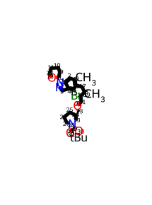 Cc1cc2c(cnn2C2CCCCO2)c(Br)c1CC(C)CCOC[C@@H]1CCCN(C(=O)OC(C)(C)C)C1